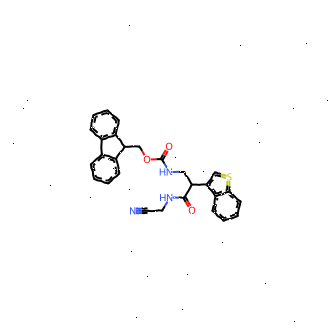 N#CCNC(=O)C(CNC(=O)OCC1c2ccccc2-c2ccccc21)c1csc2ccccc12